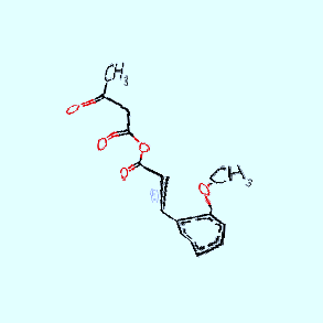 COc1ccccc1/C=C/C(=O)OC(=O)CC(C)=O